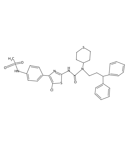 CS(=O)(=O)Nc1ccc(-c2nc(NC(=O)N(CCC(c3ccccc3)c3ccccc3)C3CCSCC3)sc2Cl)cc1